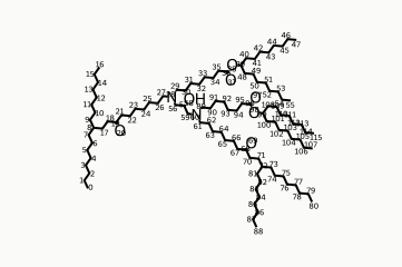 CCCCCCCCC(CCCCCCCC)CCC(=O)CCCCCCCN(CCCCCCCC(=O)OC(CCCCCCCC)CCCCCCCC)CC(O)CN(CCCCCCCC(=O)CCC(CCCCCCCC)CCCCCCCC)CCCCCCCC(=O)OC(CCCCCCCC)CCCCCCCC